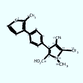 Cc1sccc1-c1ccc(-c2c(C#N)c(C(F)(F)F)n(C)c2C(=O)O)cc1